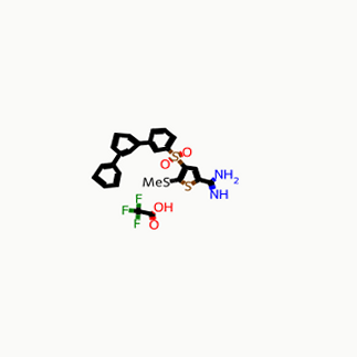 CSc1sc(C(=N)N)cc1S(=O)(=O)c1cccc(-c2cccc(-c3ccccc3)c2)c1.O=C(O)C(F)(F)F